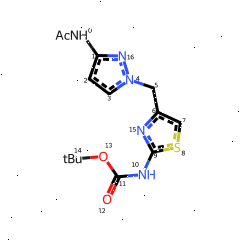 CC(=O)Nc1ccn(Cc2csc(NC(=O)OC(C)(C)C)n2)n1